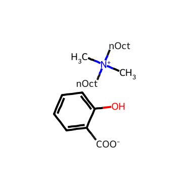 CCCCCCCC[N+](C)(C)CCCCCCCC.O=C([O-])c1ccccc1O